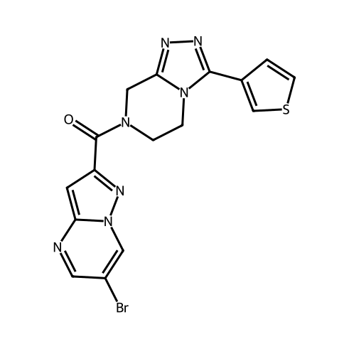 O=C(c1cc2ncc(Br)cn2n1)N1CCn2c(nnc2-c2ccsc2)C1